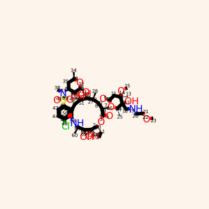 CC[C@H]1OC(=O)[C@H](C)[C@@H](O[C@H]2C[C@@](C)(OC)[C@](O)(CNCCOC)[C@H](C)O2)[C@H](C)[C@@H](O[C@@H]2O[C@H](C)C[C@H](N(C)S(=O)(=O)c3ccc(Cl)cc3)[C@H]2O)[C@](C)(O)C[C@@H](C)CN[C@H](C)[C@@H](O)[C@]1(C)O